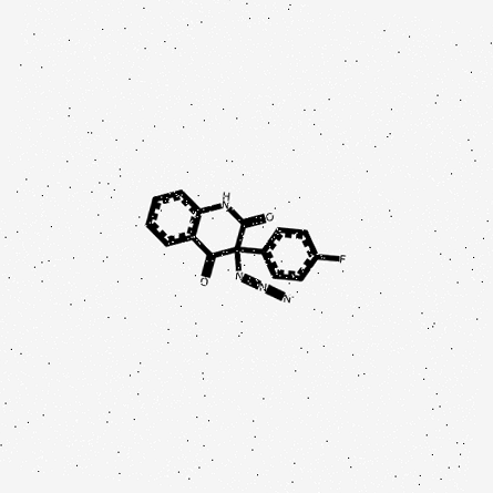 [N-]=[N+]=NC1(c2ccc(F)cc2)C(=O)Nc2ccccc2C1=O